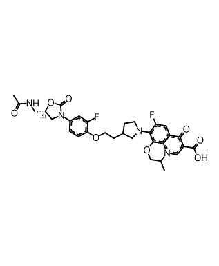 CC(=O)NC[C@H]1CN(c2ccc(OCCC3CCN(c4c(F)cc5c(=O)c(C(=O)O)cn6c5c4OCC6C)C3)c(F)c2)C(=O)O1